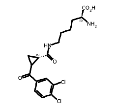 N[C@@H](CCCCNC(=O)[C@H]1CC1C(=O)c1ccc(Cl)c(Cl)c1)C(=O)O